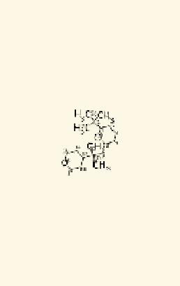 CC(C)(C)C1CCCC(CC(C)(C)C2CCOCC2)O1